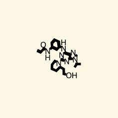 C=CC(=O)Nc1cccc(Nc2nc(N3CCCCC3CCO)nc3c2ncn3C(C)C)c1